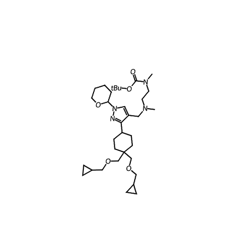 CN(CCN(C)C(=O)OC(C)(C)C)Cc1cn(C2CCCCO2)nc1C1CCC(COCC2CC2)(COCC2CC2)CC1